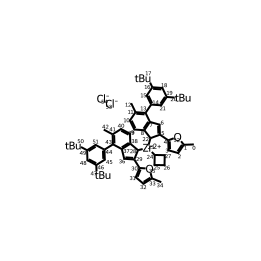 Cc1ccc(C2=Cc3c(ccc(C)c3-c3cc(C(C)(C)C)cc(C(C)(C)C)c3)[CH]2[Zr+2]([CH]2CCC2)[CH]2C(c3ccc(C)o3)=Cc3c2ccc(C)c3-c2cc(C(C)(C)C)cc(C(C)(C)C)c2)o1.[Cl-].[Cl-]